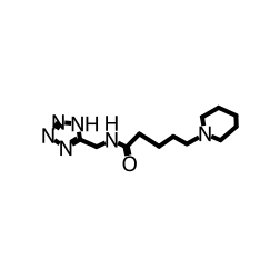 O=C(CCCCN1CCCCC1)NCc1nnn[nH]1